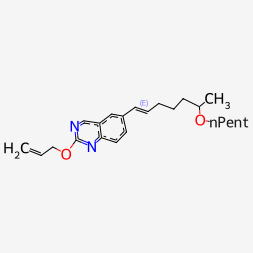 C=CCOc1ncc2cc(/C=C/CCCC(C)OCCCCC)ccc2n1